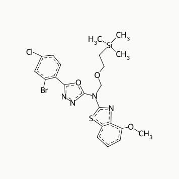 COc1cccc2sc(N(COCC[Si](C)(C)C)c3nnc(-c4ccc(Cl)cc4Br)o3)nc12